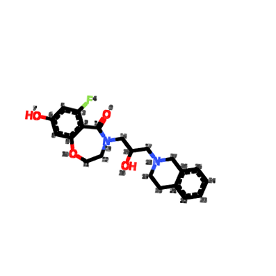 O=C1c2c(F)cc(O)cc2OCCN1CC(O)CN1CCc2ccccc2C1